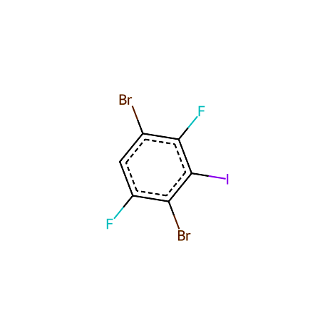 Fc1cc(Br)c(F)c(I)c1Br